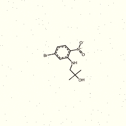 CC(C)(O)CNc1cc(Br)ccc1[N+](=O)[O-]